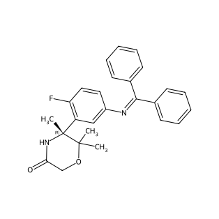 CC1(C)OCC(=O)N[C@]1(C)c1cc(N=C(c2ccccc2)c2ccccc2)ccc1F